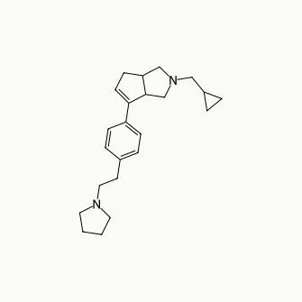 C1=C(c2ccc(CCN3CCCC3)cc2)C2CN(CC3CC3)CC2C1